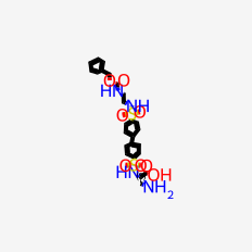 NC[C@H](NS(=O)(=O)c1ccc(-c2ccc(S(=O)(=O)NCCNC(=O)OCc3ccccc3)cc2)cc1)C(=O)O